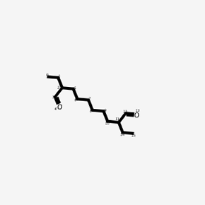 CCC(C=O)CCCCCCC(C=O)CC